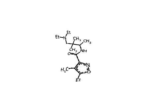 CCc1onc(C(=O)NC(C)C(C)(C)CN(CC)CC)c1C